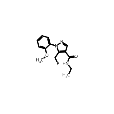 CCNC(=O)c1cnn(-c2ccccc2OC)c1CF